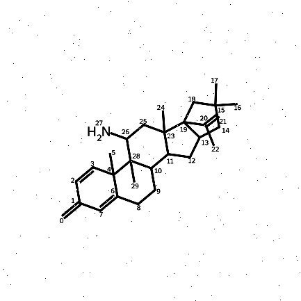 C=C1C=CC2(C)C(=C1)CCC1C3CC4CC(C)(C)CC4(C(=C)C)C3(C)CC(N)C12C